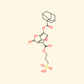 O=C1OC2=C(OC(=O)C34CC5CC(CC(C5)C3)C4)C3OC2=C1[C@@H]3C(=O)OCCCS(=O)(=O)O